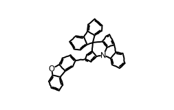 c1ccc2c(c1)-c1ccccc1C21c2cc(-c3ccc4oc5ccccc5c4c3)ccc2-n2c3ccccc3c3cccc1c32